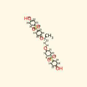 CC(CCCOc1ccc(S(=O)(=O)c2ccc(O)cc2)cc1)Oc1ccc(S(=O)(=O)c2ccc(O)cc2)cc1